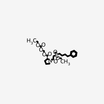 CCOC(=O)OCOC(=O)[C@@H]1CCCN1C(=O)CP(=O)(CCCCc1ccccc1)OCC